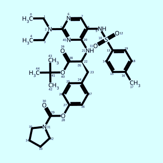 CCN(CC)c1ncc(NS(=O)(=O)c2ccc(C)cc2)c(N[C@@H](Cc2ccc(OC(=O)N3CCCC3)cc2)C(=O)OC(C)(C)C)n1